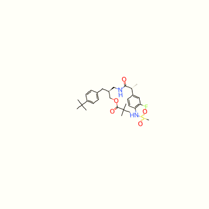 C[C@@H](C(=O)NC[C@@H](COC(=O)C(C)(C)C)Cc1ccc(C(C)(C)C)cc1)c1ccc(NS(C)(=O)=O)c(F)c1